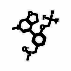 CN1C=C(c2cc(C[S+](C)[O-])ccc2OCC(F)(F)F)C2=C(C1)OCC2